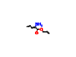 C=CC=C(N)C(=O)OCC=C